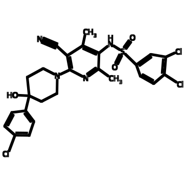 Cc1nc(N2CCC(O)(c3ccc(Cl)cc3)CC2)c(C#N)c(C)c1NS(=O)(=O)c1ccc(Cl)c(Cl)c1